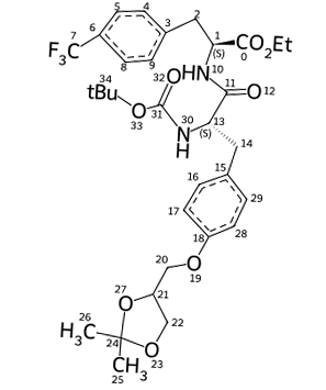 CCOC(=O)[C@H](Cc1ccc(C(F)(F)F)cc1)NC(=O)[C@H](Cc1ccc(OCC2COC(C)(C)O2)cc1)NC(=O)OC(C)(C)C